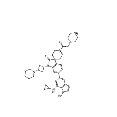 CC(C)n1cnc2cc(-c3ccc4c(c3)N([C@H]3C[C@@H](N5CCCCC5)C3)C(=O)C43CCN(C(=O)CN4CCNCC4)CC3)nc(NC3CC3)c21